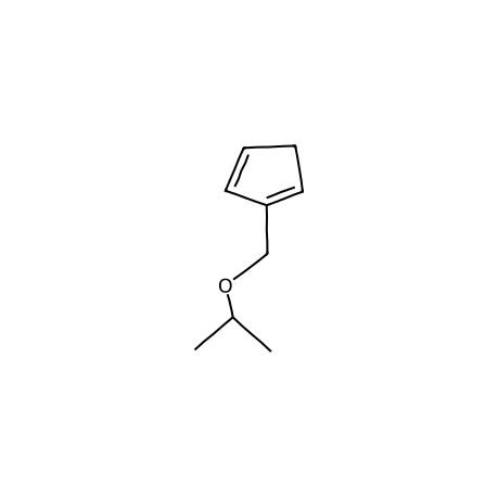 CC(C)OCC1=CCC=C1